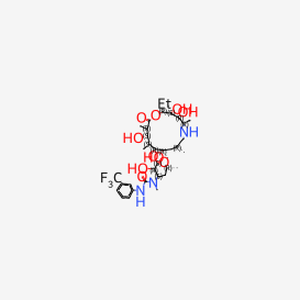 CC[C@H]1OC(=O)[C@H](C)[C@@H](O)[C@H](C)[C@@H](O[C@@H]2O[C@H](C)C[C@H](N(C)C(=O)Nc3cccc(C(F)(F)F)c3)[C@H]2O)[C@](C)(O)C[C@@H](C)CN[C@H](C)[C@@H](O)[C@]1(C)O